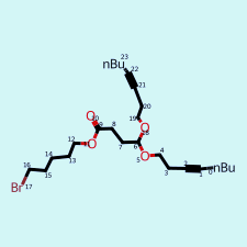 CCCCC#CCCOC(CCC(=O)OCCCCCBr)OCCC#CCCCC